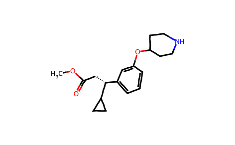 COC(=O)C[C@H](c1cccc(OC2CCNCC2)c1)C1CC1